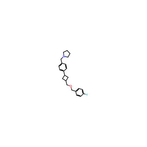 Fc1ccc(COCC2CC(c3ccc(CN4CCCC4)cc3)C2)cc1